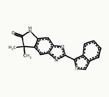 CC1(C)C(=O)Nc2cc3oc(-c4occ5ccccc45)nc3cc21